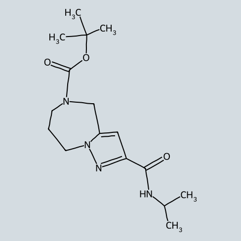 CC(C)NC(=O)c1cc2n(n1)CCCN(C(=O)OC(C)(C)C)C2